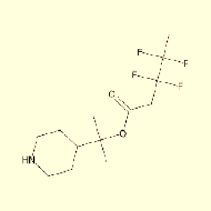 CC(C)(OC(=O)CC(F)(F)C(C)(F)F)C1CCNCC1